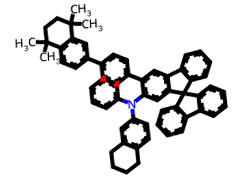 CC1(C)CCC(C)(C)c2cc(-c3ccc(-c4cc5c(cc4N(c4ccccc4)c4ccc6c(c4)CCCC6)C4(c6ccccc6-c6ccccc64)c4ccccc4-5)cc3)ccc21